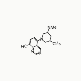 CNC1CC(C)CN(c2ccc(C#N)c3ncncc23)C1